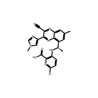 Cc1cc([C@@H](C)Nc2ccc(Cl)nc2C(=O)O)c2nc(-c3cn(C)cn3)c(C#N)nc2c1